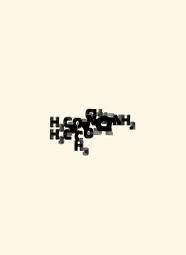 CN(C(=O)OC(C)(C)C)C1CCC(N)C1